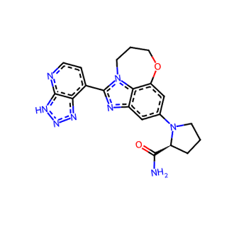 NC(=O)[C@@H]1CCCN1c1cc2c3c(c1)nc(-c1ccnc4[nH]nnc14)n3CCCO2